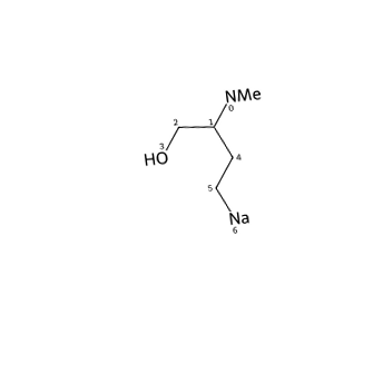 CNC(CO)C[CH2][Na]